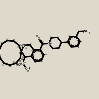 NCc1cccc(C2CCN(C(=O)c3cccc4c3CNC3(CCCCCCCCCC3)C4B(O)O)CC2)c1